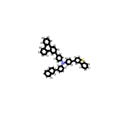 c1cc(-c2ccc3ccccc3c2)cc(N(c2ccc(-c3ccc4sc5ccccc5c4c3)cc2)c2ccc(-c3ccc4c5ccccc5c5ccccc5c4c3)cc2)c1